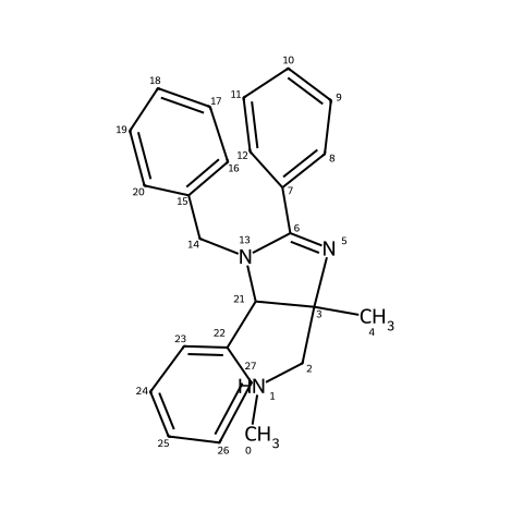 CNCC1(C)N=C(c2ccccc2)N(Cc2ccccc2)C1c1ccccc1